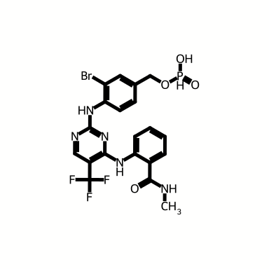 CNC(=O)c1ccccc1Nc1nc(Nc2ccc(CO[PH](=O)O)cc2Br)ncc1C(F)(F)F